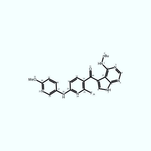 CCCCNc1ncnc2[nH]cc(C(=O)c3ccc(Nc4ccc(OC)nc4)nc3F)c12